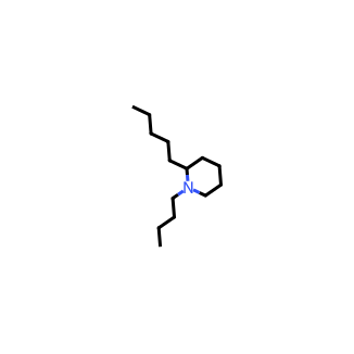 CCCCCC1CCCCN1CCCC